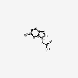 O=C(O)Cn1ncc2ccc(Br)cc21